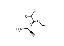 C#CCN.CCOC(=O)C(=O)Cl